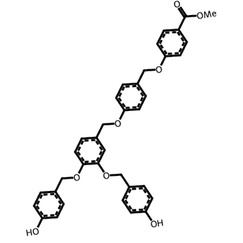 COC(=O)c1ccc(OCc2ccc(OCc3ccc(OCc4ccc(O)cc4)c(OCc4ccc(O)cc4)c3)cc2)cc1